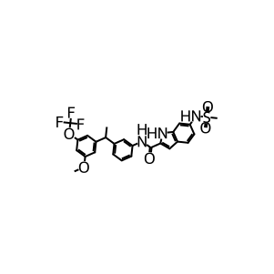 COc1cc(OC(F)(F)F)cc(C(C)c2cccc(NC(=O)c3cc4ccc(NS(C)(=O)=O)cc4[nH]3)c2)c1